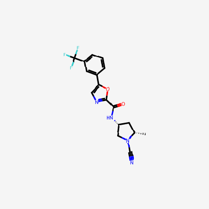 C[C@H]1C[C@@H](NC(=O)c2ncc(-c3cccc(C(F)(F)F)c3)o2)CN1C#N